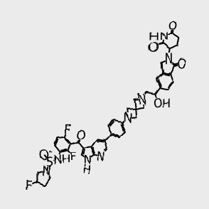 O=C1CCC(N2Cc3cc(C(O)CN4CC5(C4)CN(c4ccc(-c6cnc7[nH]cc(C(=O)c8c(F)ccc(N[S+]([O-])N9CCC(F)C9)c8F)c7c6)cc4)C5)ccc3C2=O)C(=O)N1